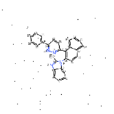 CCc1nc2ccccc2n1-c1ccc2ccccc2c1-c1ccc(-c2ccccc2)nn1